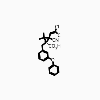 CC1(C)C(C#N)(C=C(Cl)Cl)[C@]1(Cc1cccc(Oc2ccccc2)c1)C(=O)O